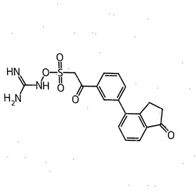 N=C(N)NOS(=O)(=O)CC(=O)c1cccc(-c2cccc3c2CCC3=O)c1